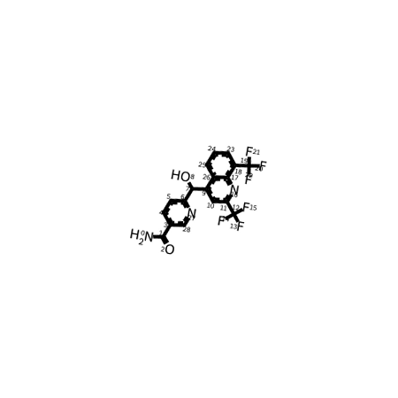 NC(=O)c1ccc(C(O)c2cc(C(F)(F)F)nc3c(C(F)(F)F)cccc23)nc1